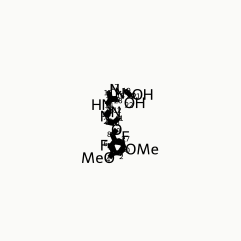 COc1cc(OC)c(F)c(COc2cnc(Nc3cnn(CC(O)O)c3)nc2)c1F